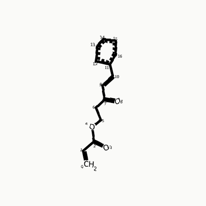 C=CC(=O)OCCC(=O)/C=C/c1ccccc1